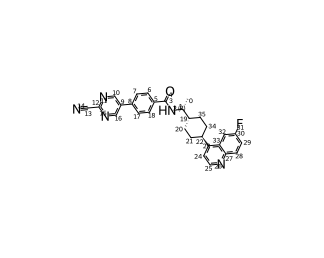 C[C@@H](NC(=O)c1ccc(-c2cnc(C#N)nc2)cc1)[C@H]1CC[C@H](c2ccnc3ccc(F)cc32)CC1